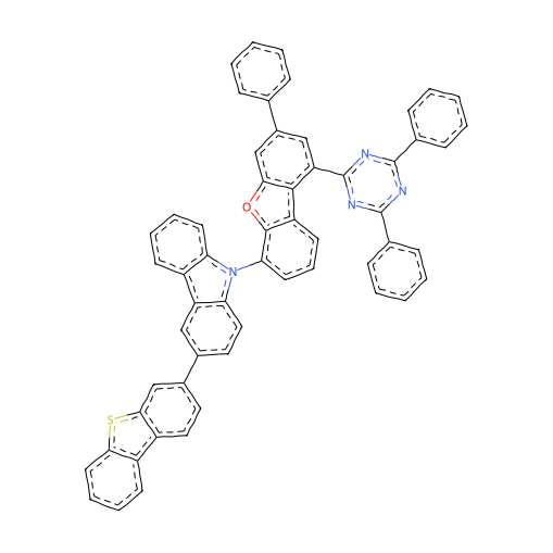 c1ccc(-c2cc(-c3nc(-c4ccccc4)nc(-c4ccccc4)n3)c3c(c2)oc2c(-n4c5ccccc5c5cc(-c6ccc7c(c6)sc6ccccc67)ccc54)cccc23)cc1